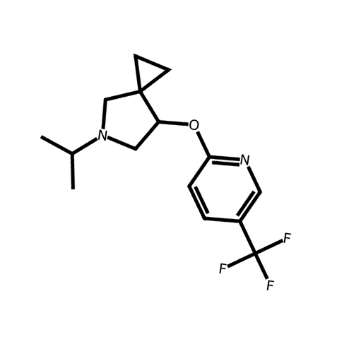 CC(C)N1CC(Oc2ccc(C(F)(F)F)cn2)C2(CC2)C1